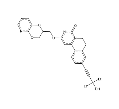 CCC(O)(C#Cc1ccc2c(c1)CCn1c-2cc(OCC2COc3ncccc3O2)nc1=O)CC